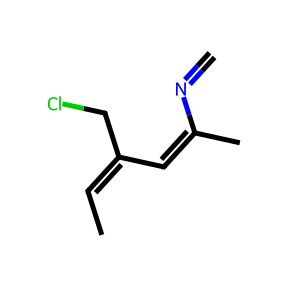 C=N/C(C)=C\C(=C/C)CCl